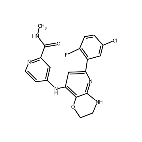 CNC(=O)c1cc(Nc2cc(-c3cc(Cl)ccc3F)nc3c2OCCN3)ccn1